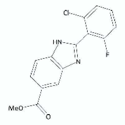 COC(=O)c1ccc2[nH]c(-c3c(F)cccc3Cl)nc2c1